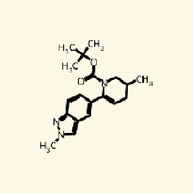 CC1CC=C(c2ccc3nn(C)cc3c2)N(C(=O)OC(C)(C)C)C1